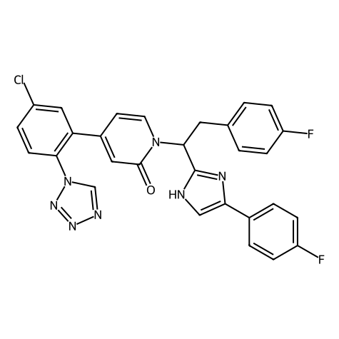 O=c1cc(-c2cc(Cl)ccc2-n2cnnn2)ccn1C(Cc1ccc(F)cc1)c1nc(-c2ccc(F)cc2)c[nH]1